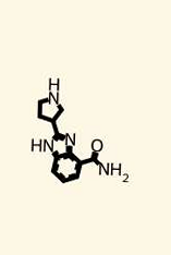 NC(=O)c1cccc2[nH]c(C3CCNC3)nc12